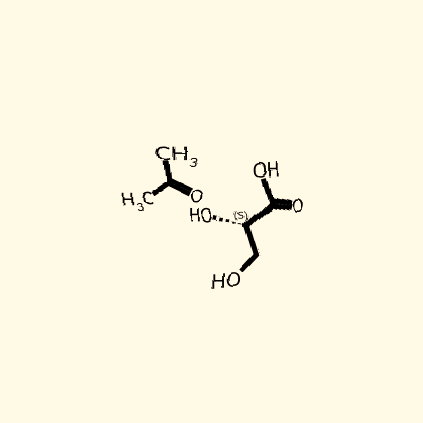 CC(C)=O.O=C(O)[C@@H](O)CO